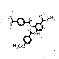 COC(=O)c1ccc(NC(=O)c2ccc(OC)cc2)c(NC(=O)c2ccc(C(N)=S)cc2)c1